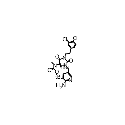 CCC(C)C(C(=O)N(CCc1ccc(Cl)c(Cl)c1)C(=O)NCc1ccc(N)nc1)N(C)C(=O)OC(C)(C)C